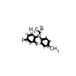 CCN(c1ccc(C)cc1)c1ccc(F)[c]c1F.[Ti]